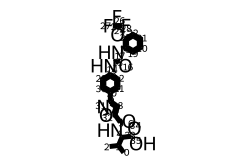 CC(C)C(NC(=O)c1cc(-c2ccc(NC(=O)Nc3ccccc3OC(F)(F)F)cc2)no1)C(=O)O